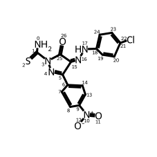 NC(=S)N1N=C(c2ccc([N+](=O)[O-])cc2)C(=NNc2ccc(Cl)cc2)C1=O